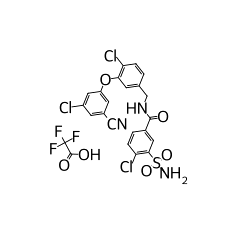 N#Cc1cc(Cl)cc(Oc2cc(CNC(=O)c3ccc(Cl)c(S(N)(=O)=O)c3)ccc2Cl)c1.O=C(O)C(F)(F)F